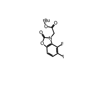 CC(C)(C)OC(=O)Cn1c(=O)oc2ccc(I)c(F)c21